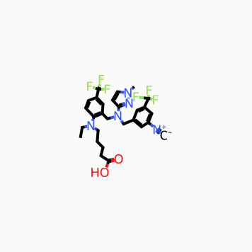 [C-]#[N+]c1cc(CN(Cc2cc(C(F)(F)F)ccc2N(CC)CCCCC(=O)O)c2ccn(C)n2)cc(C(F)(F)F)c1